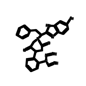 CC(=O)c1ccc2nc(C(Cc3ccccc3)N3CC(=O)N(c4ccccc4N(C=N)N=N)CC3=O)[nH]c2c1